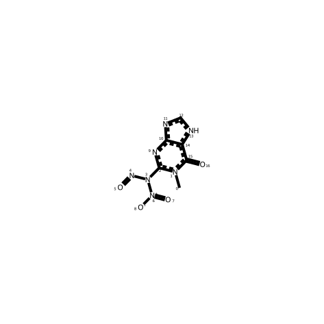 Cn1c(N(N=O)[N+](=O)[O-])nc2nc[nH]c2c1=O